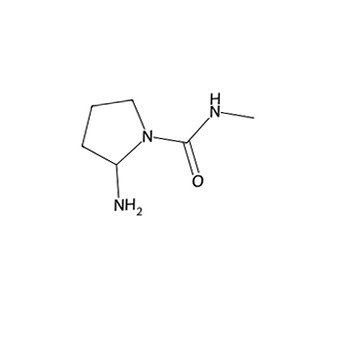 CNC(=O)N1CCCC1N